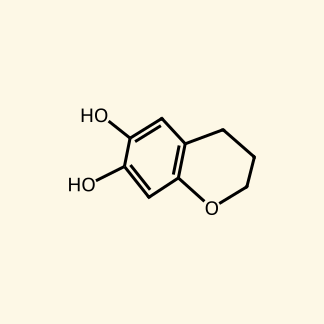 Oc1cc2c(cc1O)OCCC2